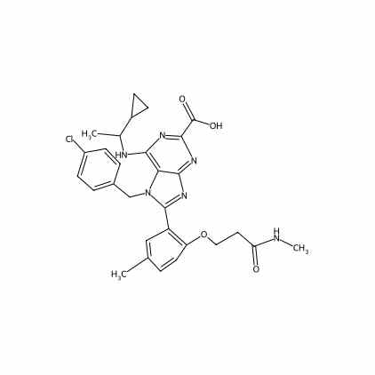 CNC(=O)CCOc1ccc(C)cc1-c1nc2nc(C(=O)O)nc(NC(C)C3CC3)c2n1Cc1ccc(Cl)cc1